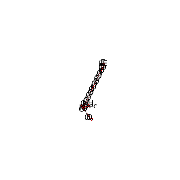 CCCCCCCCCCCN(C(=O)CCCCCCCCCC(=O)OCc1ccccc1)[C@H](CCC(=O)NCCOCCOCCOCCOCCOCCOCCOCCOCCOCCOCCOCCOCCC(=O)Oc1c(F)c(F)c(F)c(F)c1F)C(=O)OCc1ccccc1